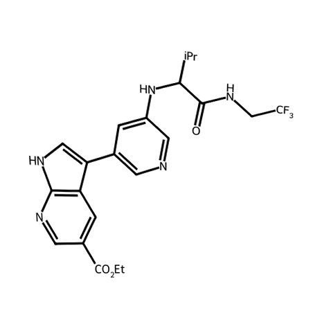 CCOC(=O)c1cnc2[nH]cc(-c3cncc(NC(C(=O)NCC(F)(F)F)C(C)C)c3)c2c1